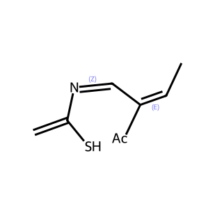 C=C(S)/N=C\C(=C/C)C(C)=O